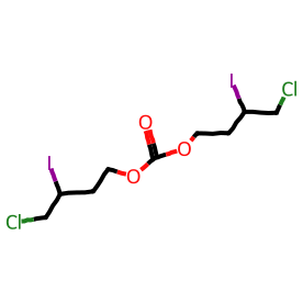 O=C(OCCC(I)CCl)OCCC(I)CCl